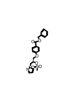 CS(=O)(=O)O[C@H](COc1ccc(C(=O)OCc2ccccc2)cc1)Cn1cccn1